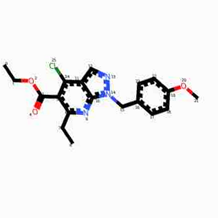 CCOC(=O)c1c(CC)nc2c(cnn2Cc2ccc(OC)cc2)c1Cl